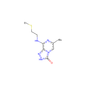 CCSCCNc1nc(C(C)(C)C)cn2c(=O)[nH]nc12